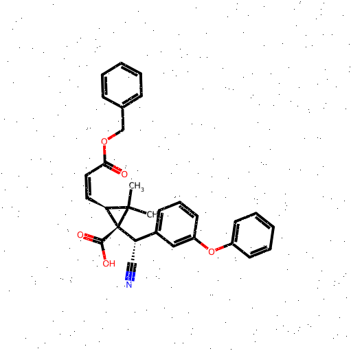 CC1(C)[C@H](/C=C\C(=O)OCc2ccccc2)[C@@]1(C(=O)O)[C@@H](C#N)c1cccc(Oc2ccccc2)c1